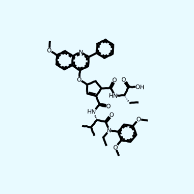 CC[C@H](NC(=O)C1CC(Oc2cc(-c3ccccc3)nc3cc(OC)ccc23)C=C1C(=O)N[C@H](C(=O)N(CC)c1cc(OC)ccc1OC)C(C)C)C(=O)O